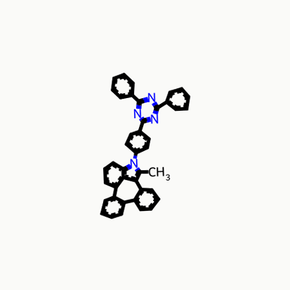 Cc1c2c3c(cccc3n1-c1ccc(-c3nc(-c4ccccc4)nc(-c4ccccc4)n3)cc1)-c1ccccc1-c1ccccc1-2